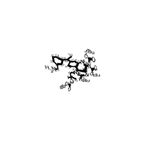 CCCCc1nc2c(N(C(=O)OC(C)(C)C)C(=O)OC(C)(C)C)nc3cc(C(C)c4cccc(CN)c4)ccc3c2n1CC(C)(C)OC(=O)OC(C)(C)C